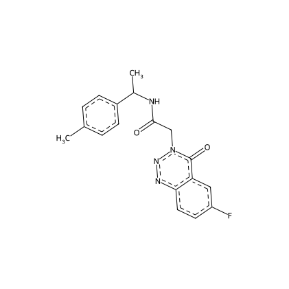 Cc1ccc(C(C)NC(=O)Cn2nnc3ccc(F)cc3c2=O)cc1